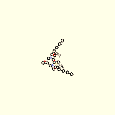 CC1(C)c2cc(-c3ccc(-c4ccc(-c5ccccc5)cc4)cc3)ccc2-c2ccc(N(c3cccc(-c4cc(-c5ccc(-c6ccccc6)c(N(c6ccc7c(c6)C(C)(C)c6cc(-c8ccc(-c9ccc(-c%10ccccc%10)cc9)cc8)ccc6-7)c6cccc7c6sc6ccccc67)c5)cc5c4oc4ccccc45)c3)c3ccccc3-c3ccccc3)cc21